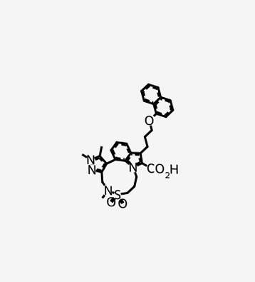 Cc1c2c(nn1C)CN(C)S(=O)(=O)CCCn1c(C(=O)O)c(CCCOc3cccc4ccccc34)c3cccc-2c31